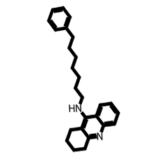 c1ccc(CCCCCCCNc2c3c(nc4ccccc24)CCCC3)cc1